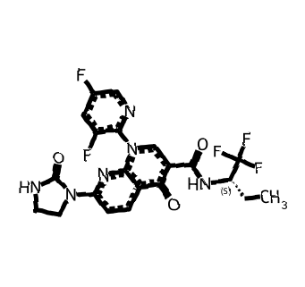 CC[C@H](NC(=O)c1cn(-c2ncc(F)cc2F)c2nc(N3CCNC3=O)ccc2c1=O)C(F)(F)F